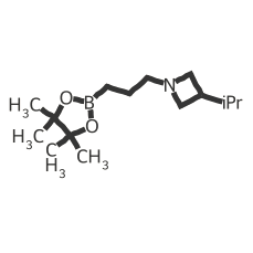 CC(C)C1CN(CCCB2OC(C)(C)C(C)(C)O2)C1